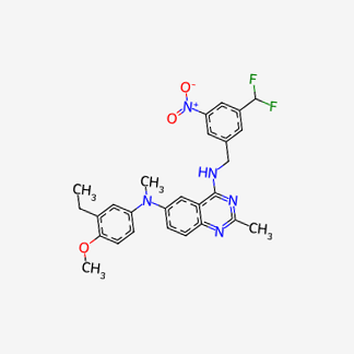 CCc1cc(N(C)c2ccc3nc(C)nc(NCc4cc(C(F)F)cc([N+](=O)[O-])c4)c3c2)ccc1OC